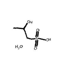 CC(O)CS(=O)(=O)O.O